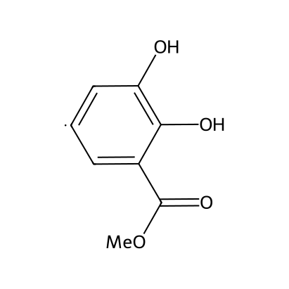 COC(=O)c1c[c]cc(O)c1O